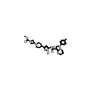 COC(=O)N1CC(N2CCC(c3cc(NC(=O)C4=C5N=CC=CN5N(c5ccc(C)cc5)C4)[nH]n3)CC2)C1